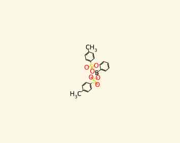 Cc1ccc(S(=O)(=O)OB(OS(=O)(=O)c2ccc(C)cc2)c2ccccc2)cc1